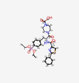 CCOP(=O)(OCC)c1ccc(C[C@H](NC(=O)c2csc(-c3ccccc3)n2)C(=O)N2CCN(C(=O)O)CC2)cc1